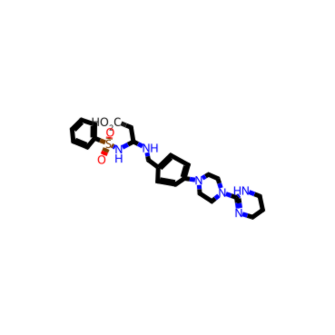 O=C(O)CC(NCc1ccc(N2CCN(C3=NCCCN3)CC2)cc1)NS(=O)(=O)c1ccccc1